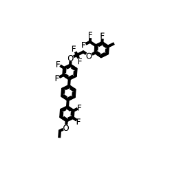 CCOc1ccc(-c2ccc(-c3ccc(OC(F)(F)COc4ccc(C)c(F)c4C(F)F)c(F)c3F)cc2)c(F)c1F